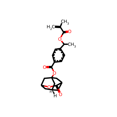 C=C(C)C(=O)OC(C)c1ccc(C(=O)OC23CC4C[C@@H](CC(C2)C(=O)O4)C3)cc1